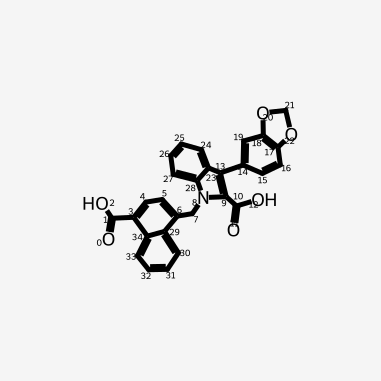 O=C(O)c1ccc(Cn2c(C(=O)O)c(-c3ccc4c(c3)OCO4)c3ccccc32)c2ccccc12